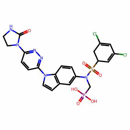 O=C1NCCN1c1ccc(-n2ccc3cc(N(CP(=O)(O)O)S(=O)(=O)C4C=C(Cl)C=C(Cl)C4)ccc32)nn1